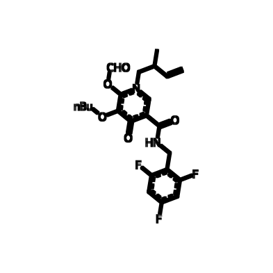 C=CC(C)Cn1cc(C(=O)NCc2c(F)cc(F)cc2F)c(=O)c(OCCCC)c1OC=O